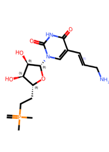 C=P(C)(C)CC[C@H]1O[C@@H](n2cc(/C=C/CN)c(=O)[nH]c2=O)[C@H](O)[C@@H]1O